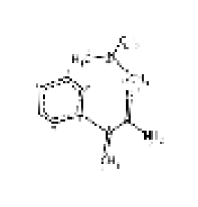 C=C(C(N)=O)c1ccccc1.CN(C)C